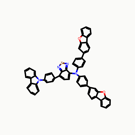 c1ccc2c(c1)oc1cc(-c3ccc(N(c4ccc(-c5ccc6c(c5)oc5ccccc56)cc4)c4ccc(-c5ccc(-n6c7ccccc7c7ccccc76)cc5)c5nsnc45)cc3)ccc12